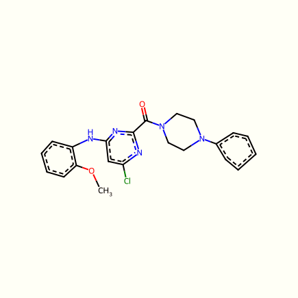 COc1ccccc1Nc1cc(Cl)nc(C(=O)N2CCN(c3ccccc3)CC2)n1